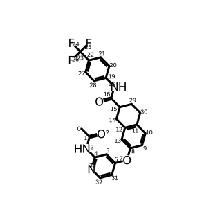 CC(=O)Nc1cc(Oc2ccc3c(c2)CC(C(=O)Nc2ccc(C(F)(F)F)cc2)CC3)ccn1